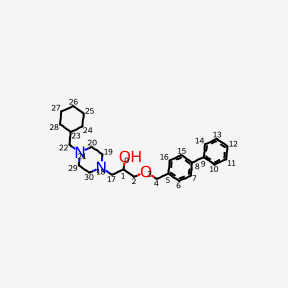 OC(COCc1ccc(-c2ccccc2)cc1)CN1CCN(CC2CCCCC2)CC1